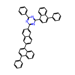 c1ccc(-c2nc(-c3ccc4cc(-c5ccc(-c6ccccc6)c6ccccc56)ccc4c3)nc(-c3ccc(-c4ccccc4)c4ccccc34)n2)cc1